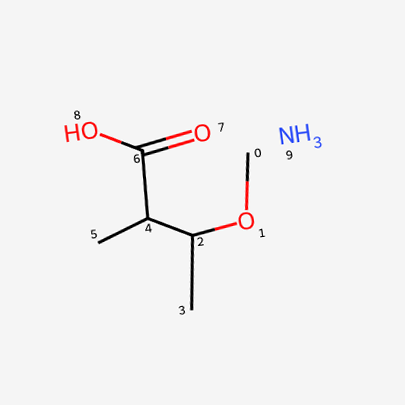 COC(C)C(C)C(=O)O.N